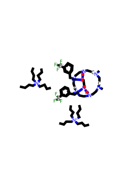 CCCC[N+](CCCC)(CCCC)CCCC.CCCC[N+](CCCC)(CCCC)CCCC.CN1CCN(C)CCN2CCN(C)CCN(Cc3cccc([B-](F)(F)F)c3)CCN(CC1)CCN(C)CCN(Cc1cccc([B-](F)(F)F)c1)CC2